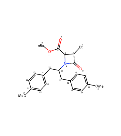 CCCCOC(=O)C1C(CC)C(=O)N1C(Cc1ccc(OC)cc1)Cc1ccc(OC)cc1